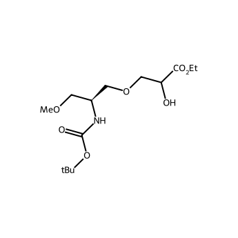 CCOC(=O)C(O)COC[C@H](COC)NC(=O)OC(C)(C)C